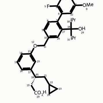 COc1ccc(F)c(-c2ccc(COc3cccc([C@@H](CC(=O)O)CC4CC4)c3)cc2C(O)(C(C)C)C(C)C)c1